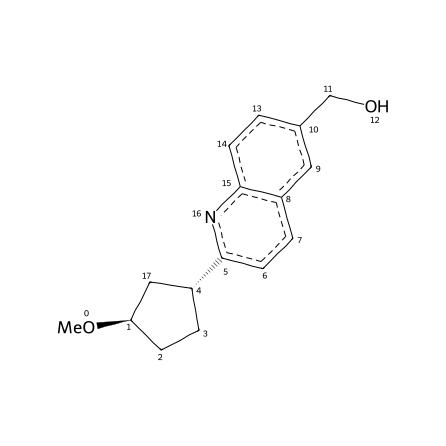 CO[C@@H]1CC[C@@H](c2ccc3cc(CO)ccc3n2)C1